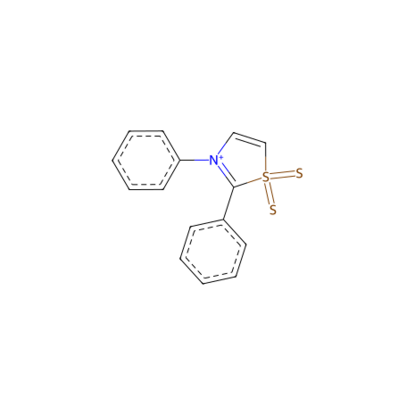 S=S1(=S)C=C[N+](c2ccccc2)=C1c1ccccc1